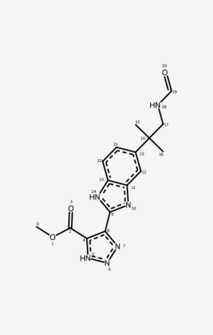 COC(=O)c1[nH]nnc1-c1nc2cc(C(C)(C)CNC=O)ccc2[nH]1